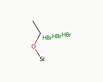 Br.Br.Br.CCO[Si]